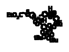 CCOC(=O)Cc1cc2c(s1)CCN(C(=O)[C@H](Cc1ccc(NS(=O)(=O)c3ccc(F)cc3)cc1)NC(=O)c1ccc(C(=NC(=O)OC(C)(C)C)N(C(=O)OC(C)(C)C)C(=O)OC(C)(C)C)cc1)C2